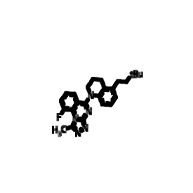 Cc1nnc2nc(N3CCCc4c(CCC(C)(C)C)cccc43)c3cccc(F)c3n12